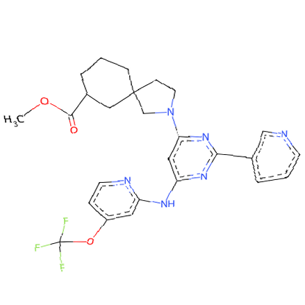 COC(=O)C1CCCC2(CCN(c3cc(Nc4cc(OC(F)(F)F)ccn4)nc(-c4cccnc4)n3)C2)C1